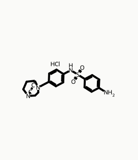 Cl.Nc1ccc(S(=O)(=O)Nc2ccc(N3CCN4CCC3CC4)cc2)cc1